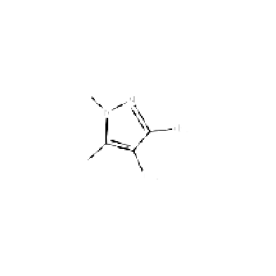 Cc1c(C(C)(C)C)c(C(C)(C)C)nn1C